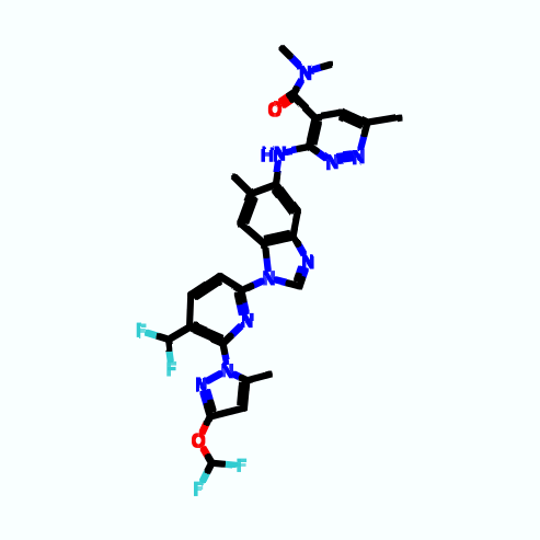 Cc1cc(C(=O)N(C)C)c(Nc2cc3ncn(-c4ccc(C(F)F)c(-n5nc(OC(F)F)cc5C)n4)c3cc2C)nn1